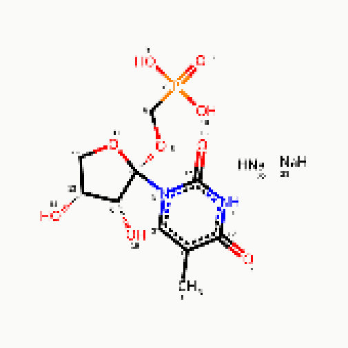 Cc1cn([C@]2(OCP(=O)(O)O)OC[C@@H](O)[C@H]2O)c(=O)[nH]c1=O.[NaH].[NaH]